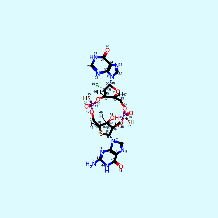 Nc1nc2c(ncn2[C@@H]2S[C@@H]3COP(=O)(S)O[C@H]4[C@H](F)[C@H](n5cnc6c(=O)[nH]cnc65)O[C@@H]4COP(=O)(S)O[C@@H]2[C@@H]3O)c(=O)[nH]1